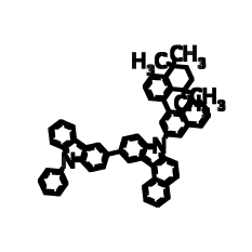 CC1(C)CCC(C)(C)c2c(-c3cc(-n4c5ccc(-c6ccc7c(c6)c6ccccc6n7-c6ccccc6)cc5c5c6ccccc6ccc54)cc4ccccc34)cccc21